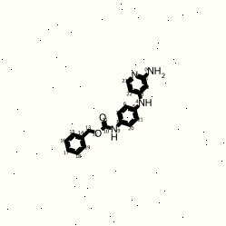 Nc1cc(Nc2ccc(NC(=O)OCc3ccccc3)cc2)ccn1